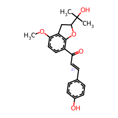 COc1ccc(C(=O)/C=C/c2ccc(O)cc2)c2c1CC(C(C)(C)O)O2